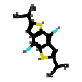 N#CC(C#N)c1cc2c(F)c3sc(C(C#N)C#N)cc3c(F)c2s1